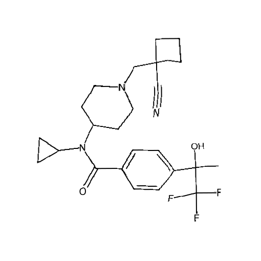 CC(O)(c1ccc(C(=O)N(C2CC2)C2CCN(CC3(C#N)CCC3)CC2)cc1)C(F)(F)F